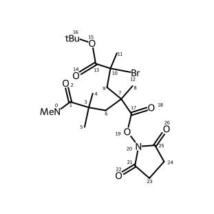 CNC(=O)C(C)(C)CC(C)(CC(C)(Br)C(=O)OC(C)(C)C)C(=O)ON1C(=O)CCC1=O